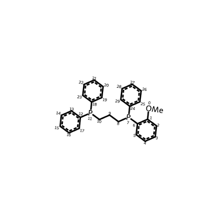 COc1ccccc1P(CCCP(c1ccccc1)c1ccccc1)c1ccccc1